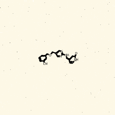 N#Cc1cccc(COCc2cnc(NCc3cc[nH]c(=O)c3)nc2)c1